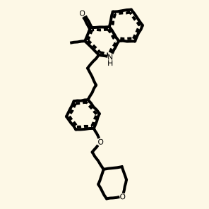 Cc1c(CCc2cccc(OCC3CCOCC3)c2)[nH]c2ccccc2c1=O